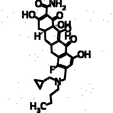 CCCCN(Cc1cc(O)c2c(c1F)CC1C[C@H]3CC(O)=C(C(N)=O)C(=O)[C@@]3(O)C(O)=C1C2=O)CC1CC1